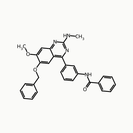 CNc1nc(-c2cccc(NC(=O)c3ccccc3)c2)c2cc(OCc3ccccc3)c(OC)cc2n1